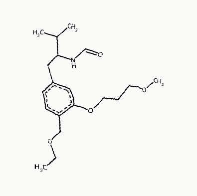 CCOCc1ccc(CC(NC=O)C(C)C)cc1OCCCOC